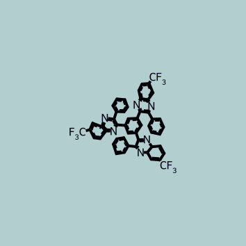 FC(F)(F)C1=CC2N=C(c3ccccc3)C(c3cc(-c4nc5ccc(C(F)(F)F)cc5nc4-c4ccccc4)cc(-c4nc5ccc(C(F)(F)F)cc5nc4-c4ccccc4)c3)=NC2C=C1